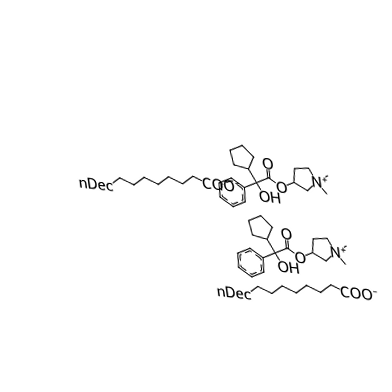 CCCCCCCCCCCCCCCCCC(=O)[O-].CCCCCCCCCCCCCCCCCC(=O)[O-].C[N+]1(C)CCC(OC(=O)C(O)(c2ccccc2)C2CCCC2)C1.C[N+]1(C)CCC(OC(=O)C(O)(c2ccccc2)C2CCCC2)C1